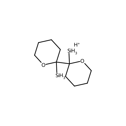 [H+].[SiH3]C1(C2([SiH3])CCCCO2)CCCCO1